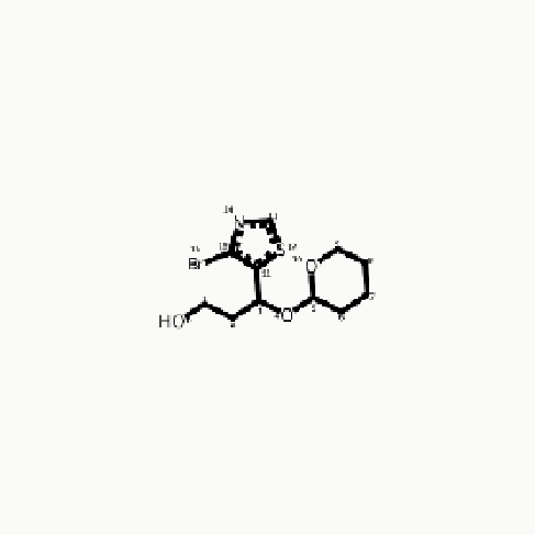 OCCC(OC1CCCCO1)c1scnc1Br